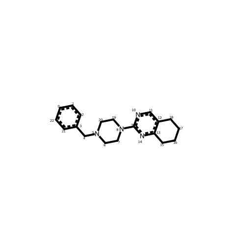 c1ccc(CN2CCN(c3ncc4c(n3)CCCC4)CC2)cc1